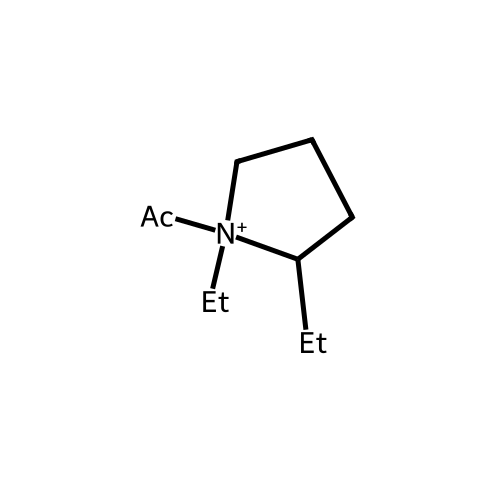 CCC1CCC[N+]1(CC)C(C)=O